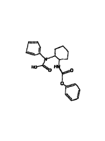 O=C(NC1CCCCC1N(C(=O)O)c1ccccc1)Oc1ccccc1